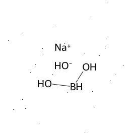 OBO.[Na+].[OH-]